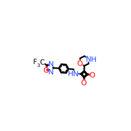 O=c1c(NCc2ccc(-c3noc(C(F)(F)F)n3)cc2)c(C2CNCCO2)c1=O